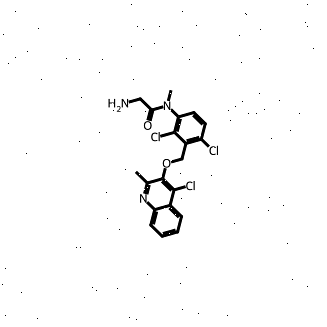 Cc1nc2ccccc2c(Cl)c1OCc1c(Cl)ccc(N(C)C(=O)CN)c1Cl